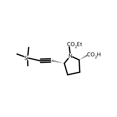 CCOC(=O)N1[C@@H](C#C[Si](C)(C)C)CC[C@H]1C(=O)O